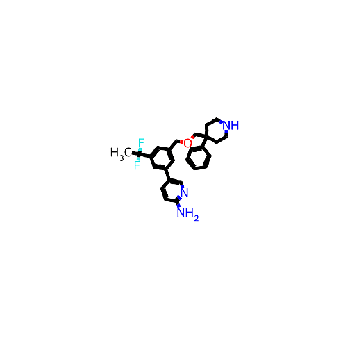 CC(F)(F)c1cc(COCC2(c3ccccc3)CCNCC2)cc(-c2ccc(N)nc2)c1